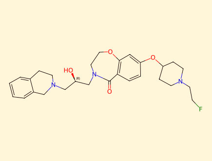 O=C1c2ccc(OC3CCN(CCF)CC3)cc2OCCN1C[C@H](O)CN1CCc2ccccc2C1